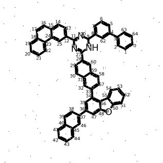 c1ccc(-c2cccc(C3N=C(c4ccc5ccc6ccccc6c5c4)N=C(c4ccc5cc(-c6cc(-c7ccc8ccccc8c7)cc7oc8ccccc8c67)ccc5c4)N3)c2)cc1